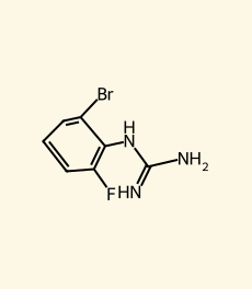 N=C(N)Nc1c(F)cccc1Br